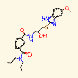 CCCN(CCC)C(=O)c1cccc(C(=O)NC[C@H](O)CSc2nc3cc(OC)ccc3[nH]2)c1